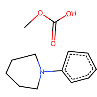 COC(=O)O.c1ccc(N2CCCCC2)cc1